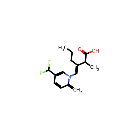 C=C1C=CC(C(F)F)=CN1/C=C(\CCC)C(C)C(=O)O